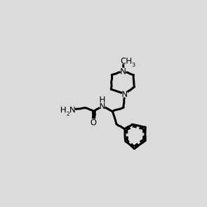 CN1CCN(CC(Cc2ccccc2)NC(=O)CN)CC1